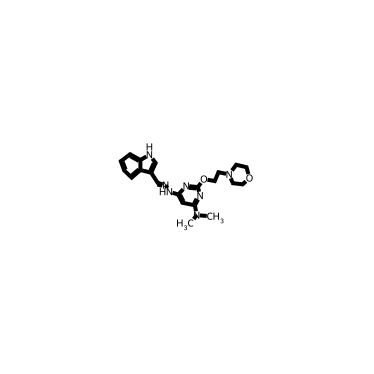 CN(C)c1cc(NN=Cc2c[nH]c3ccccc23)nc(OCCN2CCOCC2)n1